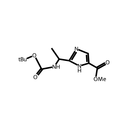 COC(=O)c1cnc(C(C)NC(=O)OC(C)(C)C)[nH]1